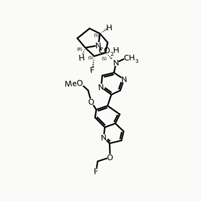 COCOc1cc2nc(OCF)ccc2cc1-c1cnc(N(C)[C@H]2C[C@@H]3CC[C@H]([C@H]2F)N3C(=O)O)cn1